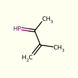 C=C(C)C(C)=P